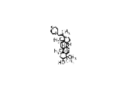 C[C@H](CN1CCSCC1)[C@H]1CC[C@H]2[C@@H]3CC=C4C(C)(C)C(O)CC[C@]4(C)[C@H]3CC[C@]12C